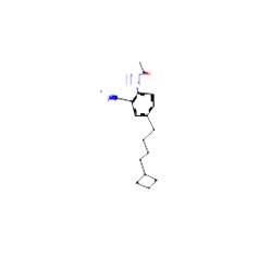 CC(=O)Nc1ccc(CCCCC2CCC2)cc1C#N